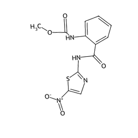 COC(=O)Nc1ccccc1C(=O)Nc1ncc([N+](=O)[O-])s1